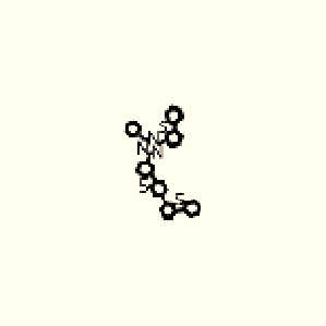 c1ccc(-c2nc(-c3ccc4sc5cc(-c6cccc7c6sc6ccccc67)ccc5c4c3)nc(-c3cccc4c3sc3ccccc34)n2)cc1